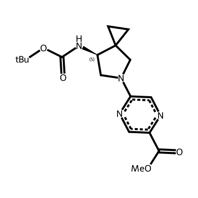 COC(=O)c1cnc(N2C[C@@H](NC(=O)OC(C)(C)C)C3(CC3)C2)cn1